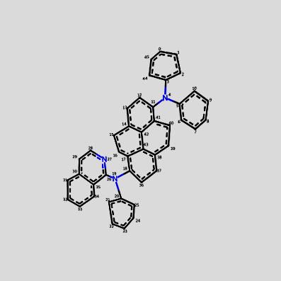 c1ccc(N(c2ccccc2)c2ccc3ccc4c(N(c5ccccc5)c5nccc6ccccc56)ccc5ccc2c3c54)cc1